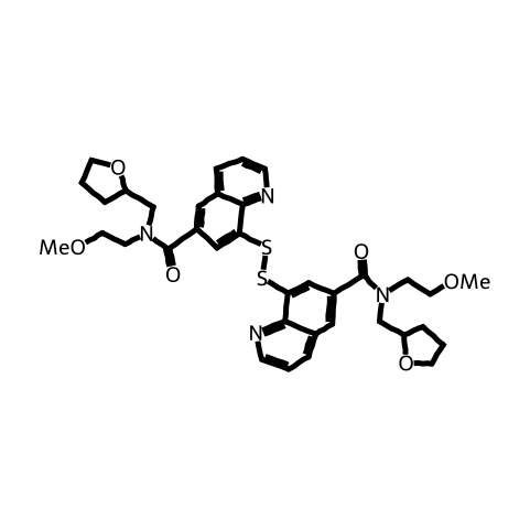 COCCN(CC1CCCO1)C(=O)c1cc(SSc2cc(C(=O)N(CCOC)CC3CCCO3)cc3cccnc23)c2ncccc2c1